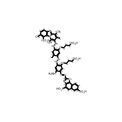 CC(=O)Nc1cc(N=Nc2cc(OCCCS(=O)(=O)O)c(N=Nc3c(C)c(C#N)c4nc5ccc(Cl)c(S(=O)(=O)O)c5n4c3O)cc2C)c(SCCCS(=O)(=O)O)cc1N=Nc1nc2c(S(=O)(=O)O)cc3cc(S(=O)(=O)O)ccc3c2s1